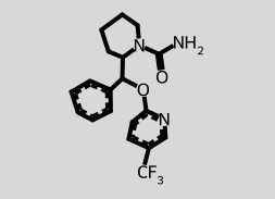 NC(=O)N1CCCCC1C(Oc1ccc(C(F)(F)F)cn1)c1ccccc1